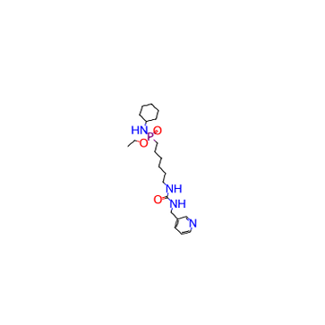 CCOP(=O)(CCCCCCNC(=O)NCc1cccnc1)NC1CCCCC1